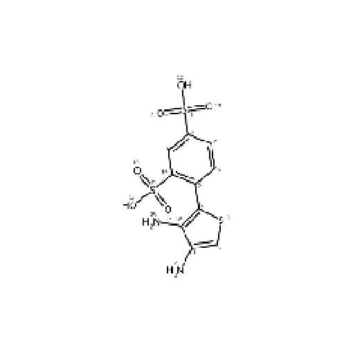 Nc1csc(-c2ccc(S(=O)(=O)O)cc2S(=O)(=O)O)c1N